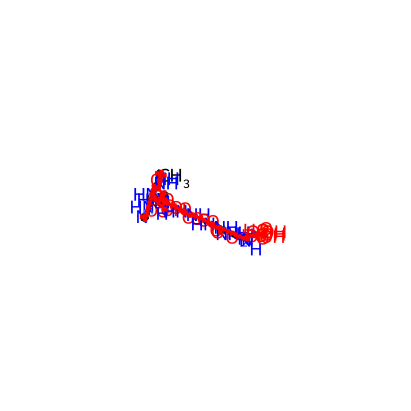 Cc1ccccc1NC(=O)Nc1ccc(CC(=O)N[C@@H](CCCCNC(=O)/C=C/c2cccnc2)C(=O)N[C@@H](CCCCC(=O)O)C(=O)NC2(C(=O)NCCOCCOCCNC(=O)CCC(=O)NCCOCCOCCNC(=O)CCC(=O)N[C@@H](CCCCNC(=O)CCCCn3cc(COC(=O)NCCCC(O)(P(=O)(O)O)P(=O)(O)O)nn3)C(N)=O)CCCCC2)cc1